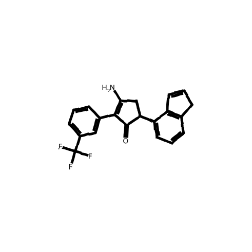 NC1=C(c2cccc(C(F)(F)F)c2)C(=O)C(c2cccc3c2C=CC3)C1